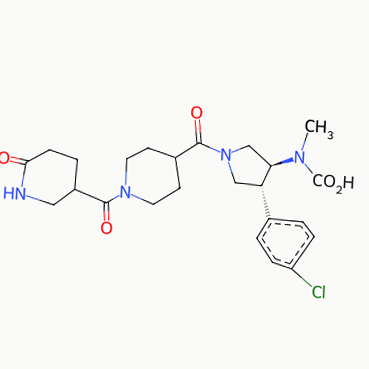 CN(C(=O)O)[C@@H]1CN(C(=O)C2CCN(C(=O)C3CCC(=O)NC3)CC2)C[C@H]1c1ccc(Cl)cc1